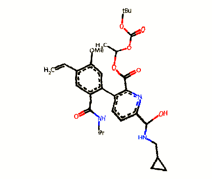 C=Cc1cc(C(=O)NC(C)C)c(-c2ccc(C(O)NCC3CC3)nc2C(=O)OC(C)OC(=O)OC(C)(C)C)cc1OC